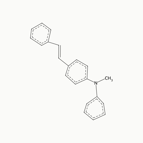 CN(c1ccccc1)c1ccc(/C=C/c2ccccc2)cc1